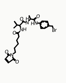 CC(NC(=O)C(NC(=O)CCCCCN1C(=O)C=CC1=O)C(C)C)C(=O)Nc1ccc(CBr)cc1